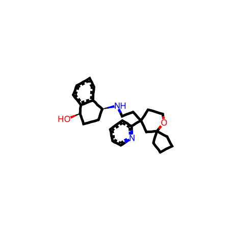 O[C@@H]1CC[C@H](NCCC2(c3ccccn3)CCOC3(CCCC3)C2)c2ccccc21